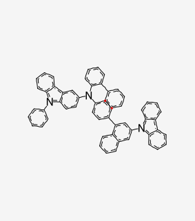 c1ccc(-c2ccccc2N(c2ccc(-c3cc(-n4c5ccccc5c5ccccc54)cc4ccccc34)cc2)c2ccc3c(c2)c2ccccc2n3-c2ccccc2)cc1